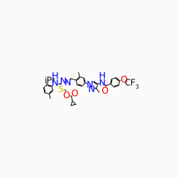 Cc1ccc(C(C)C)c(N/C(=N/N=C/c2ccc(-n3cc(NC(=O)c4ccc(OC(F)(F)F)cc4)c(C)n3)cc2C)SCOC(=O)C2CC2)c1